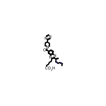 C=C(/C=C\C=C/C)c1nc2ccc(C(=O)N3CCC(c4cnccn4)CC3)cc2nc1CCCCC(=O)O